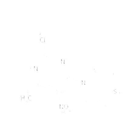 Cc1nc(Cl)nc(N2CCSCC2)c1[N+](=O)[O-]